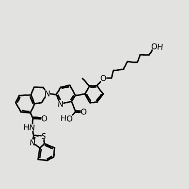 Cc1c(OCCCCCCCO)cccc1-c1ccc(N2CCc3cccc(C(=O)Nc4nc5ccccc5s4)c3C2)nc1C(=O)O